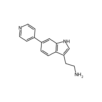 NCCc1c[nH]c2cc(-c3ccncc3)ccc12